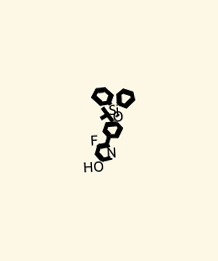 CC(C)(C)[Si](Oc1ccc(-c2ncc(O)cc2F)cc1)(c1ccccc1)c1ccccc1